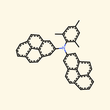 Cc1cc(C)c(N(c2cc3ccc4cccc5ccc(c2)c3c45)c2cc3ccc4cccc5ccc(c2)c3c45)c(C)c1